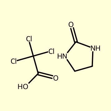 O=C(O)C(Cl)(Cl)Cl.O=C1NCCN1